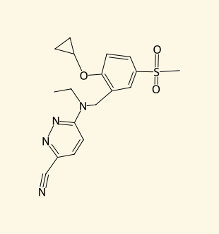 CCN(Cc1cc(S(C)(=O)=O)ccc1OC1CC1)c1ccc(C#N)nn1